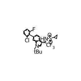 CC(C)(C)Cn1cc([C@H](NS(=O)(=O)C2CC2)C(F)(F)F)c2ccc(-c3c(F)cccc3Cl)cc21